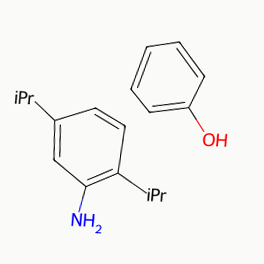 CC(C)c1ccc(C(C)C)c(N)c1.Oc1ccccc1